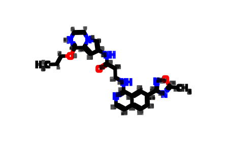 CCCOc1nccn2cc(NC(=O)CCNc3nccc4ccc(-c5noc(C)n5)cc34)cc12